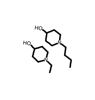 CCCCN1CCC(O)CC1.CCN1CCC(O)CC1